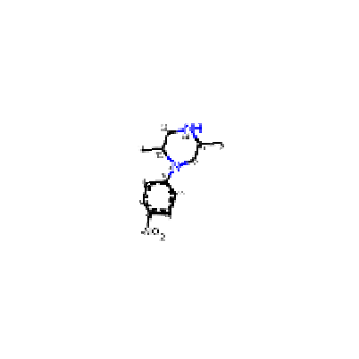 CC1CN(c2ccc([N+](=O)[O-])cc2)C(C)CN1